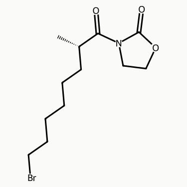 C[C@@H](CCCCCCBr)C(=O)N1CCOC1=O